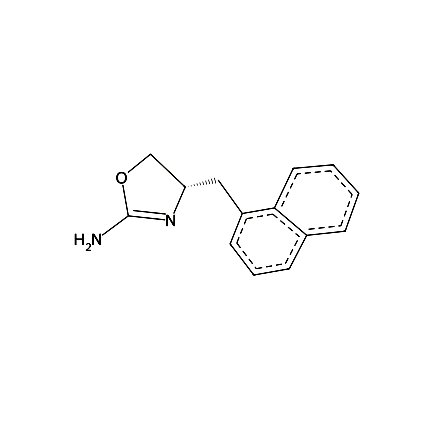 NC1=N[C@@H](Cc2cccc3ccccc23)CO1